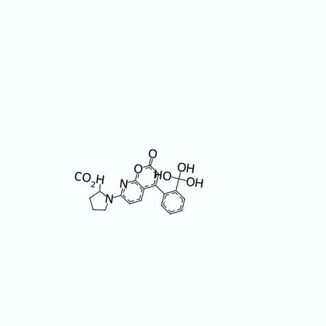 O=C(O)C1CCCN1c1ccc2c(-c3ccccc3C(O)(O)O)cc(=O)oc2n1